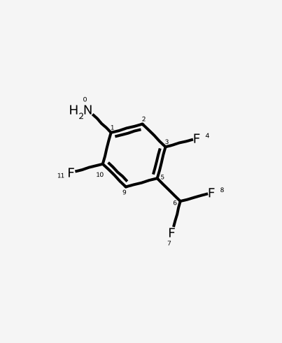 Nc1cc(F)c(C(F)F)cc1F